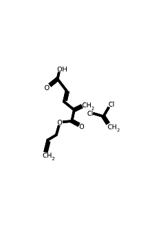 C=C(Cl)Cl.C=CCOC(=O)C(=C)C=CC(=O)O